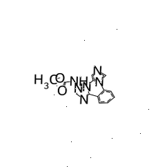 COC(=O)NN1CN=C2c3ccccc3-n3cncc3N21